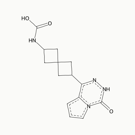 O=C(O)NC1CC2(C1)CC(c1n[nH]c(=O)n3cccc13)C2